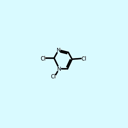 ClC1=CN(Cl)C(Cl)N=C1